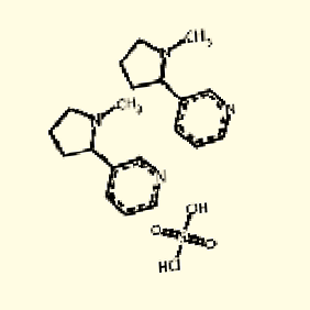 CN1CCCC1c1cccnc1.CN1CCCC1c1cccnc1.O=S(=O)(O)O